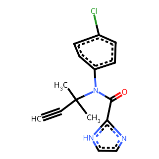 C#CC(C)(C)N(C(=O)c1ncc[nH]1)c1ccc(Cl)cc1